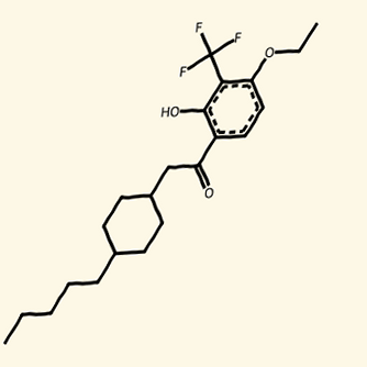 CCCCCC1CCC(CC(=O)c2ccc(OCC)c(C(F)(F)F)c2O)CC1